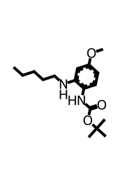 CCCCCNc1cc(OC)ccc1NC(=O)OC(C)(C)C